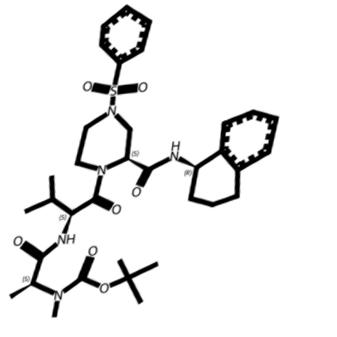 CC(C)[C@H](NC(=O)[C@H](C)N(C)C(=O)OC(C)(C)C)C(=O)N1CCN(S(=O)(=O)c2ccccc2)C[C@H]1C(=O)N[C@@H]1CCCc2ccccc21